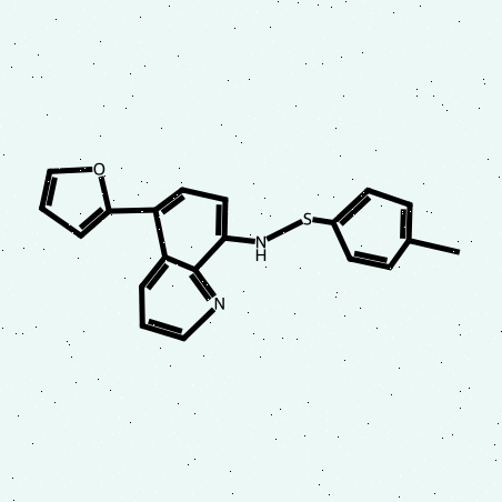 Cc1ccc(SNc2ccc(-c3ccco3)c3cccnc23)cc1